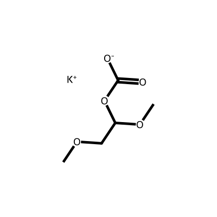 COCC(OC)OC(=O)[O-].[K+]